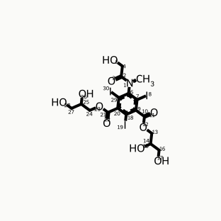 CN(C(=O)CO)c1c(I)c(C(=O)OCC(O)CO)c(I)c(C(=O)OCC(O)CO)c1I